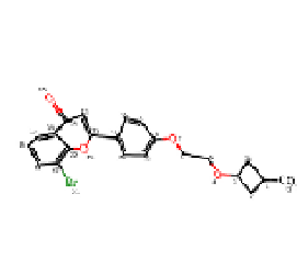 O=C(O)C1CC(OCCOc2ccc(-c3cc(=O)c4cccc(Br)c4o3)cc2)C1